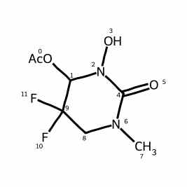 CC(=O)OC1N(O)C(=O)N(C)CC1(F)F